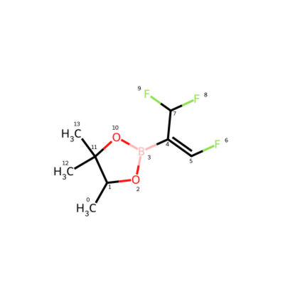 CC1OB(C(=CF)C(F)F)OC1(C)C